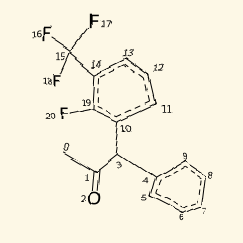 CC(=O)C(c1ccccc1)c1cccc(C(F)(F)F)c1F